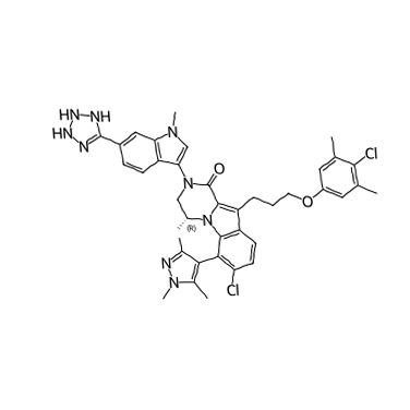 Cc1cc(OCCCc2c3n(c4c(-c5c(C)nn(C)c5C)c(Cl)ccc24)[C@H](C)CN(c2cn(C)c4cc(C5=NNNN5)ccc24)C3=O)cc(C)c1Cl